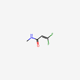 CNC(=O)C=C(F)F